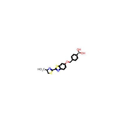 O=C(O)C1CSC(c2nc3ccc(OCc4ccc(B(O)O)cc4)cc3s2)=N1